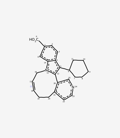 O=C(O)c1ccc2c(C3CCCCC3)c3n(c2c1)C/C=C\CCc1ccncc1-3